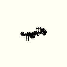 COc1cc(CNC(=O)Nc2ccc(C3Cc4cnc(NCCCCN(C)C)nc4-c4ccccc43)cc2)cc(OC)c1OC